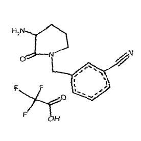 N#Cc1cccc(CN2CCCC(N)C2=O)c1.O=C(O)C(F)(F)F